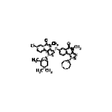 Cn1c(=O)c2cc(Cl)ccc2n2c(N3CC4(C)CC3CC(C)(C)C4)nnc12.Cn1c(=O)c2cc(F)ccc2n2c(N3CCCCCC3)nnc12